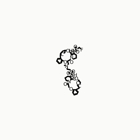 CN(CCS(=O)(=O)N[C@H]1CCCN2C(=O)COc3ccccc3C3CCC(CC3)OC[C@@H]12)CC1Oc2ccccc2C2CCC(CC2)OC[C@H]2[C@@H](NS(=O)(=O)CF)CCCN2C1=O